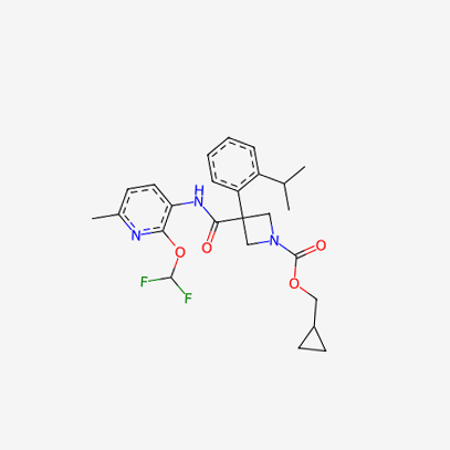 Cc1ccc(NC(=O)C2(c3ccccc3C(C)C)CN(C(=O)OCC3CC3)C2)c(OC(F)F)n1